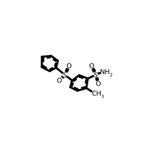 Cc1ccc(S(=O)(=O)c2ccccc2)cc1S(N)(=O)=O